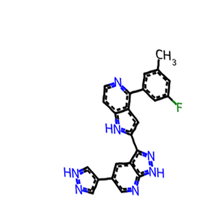 Cc1cc(F)cc(-c2nccc3[nH]c(-c4n[nH]c5ncc(-c6cn[nH]c6)cc45)cc23)c1